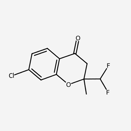 CC1(C(F)F)CC(=O)c2ccc(Cl)cc2O1